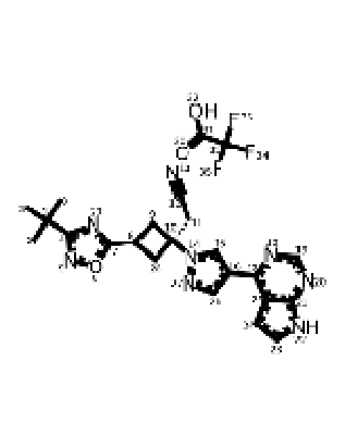 CC(C)(C)c1noc([C@H]2C[C@@](CC#N)(n3cc(-c4ncnc5[nH]ccc45)cn3)C2)n1.O=C(O)C(F)(F)F